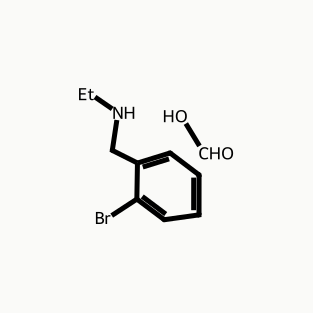 CCNCc1ccccc1Br.O=CO